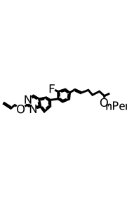 C=CCOc1ncc2cc(-c3ccc(/C=C/CCCC(C)OCCCCC)cc3F)ccc2n1